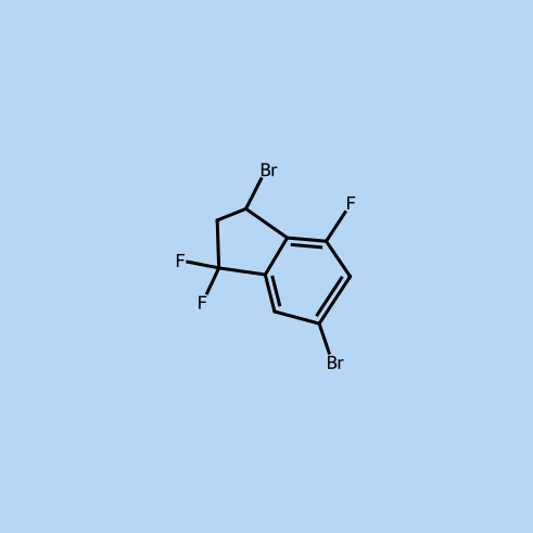 Fc1cc(Br)cc2c1C(Br)CC2(F)F